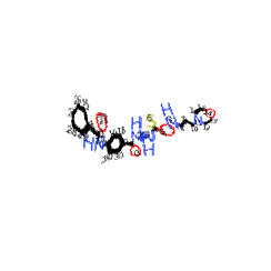 O=C(NNC(=S)ONCCCN1CCOCC1)c1ccc(NC(=O)C2CCCCC2)cc1